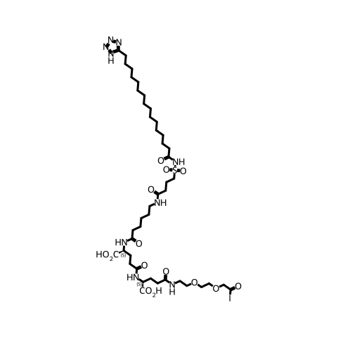 O=C(I)COCCOCCNC(=O)CC[C@H](NC(=O)CC[C@H](NC(=O)CCCCCNC(=O)CCCS(=O)(=O)NC(=O)CCCCCCCCCCCCCCCc1nnn[nH]1)C(=O)O)C(=O)O